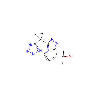 CC(C)(O)c1cccn2c(C3(c4nn[nH]n4)CC3)nnc12